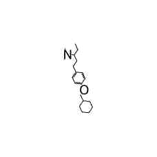 CCC(CCc1ccc(OCC2CCCCC2)cc1)N(C)C